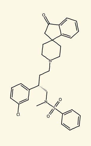 CN(C[C@@H](CCN1CCC2(CC1)CC(=O)c1ccccc12)c1cccc(Cl)c1)S(=O)(=O)c1ccccc1